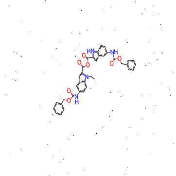 CCn1c(C(=O)OC(=O)c2cc3cc(NC(=O)OCc4ccccc4)ccc3[nH]2)cc2cc(NC(=O)OCc3ccccc3)ccc21